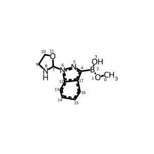 COB(O)c1nn(C2NCCO2)c2ccccc12